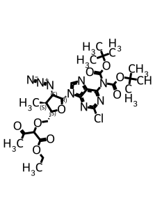 CCOC(=O)C(OC[C@H]1O[C@@H](n2cnc3c(N(C(=O)OC(C)(C)C)C(=O)OC(C)(C)C)nc(Cl)nc32)[C@@H](N=[N+]=[N-])[C@@H]1C)C(C)=O